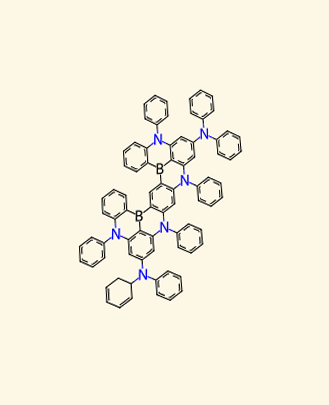 C1=CCC(N(c2ccccc2)c2cc3c4c(c2)N(c2ccccc2)c2cc5c(cc2B4c2ccccc2N3c2ccccc2)B2c3ccccc3N(c3ccccc3)c3cc(N(c4ccccc4)c4ccccc4)cc(c32)N5c2ccccc2)C=C1